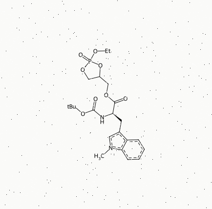 CCOP1(=O)OCC(COC(=O)[C@@H](Cc2cn(C)c3ccccc23)NC(=O)OC(C)(C)C)O1